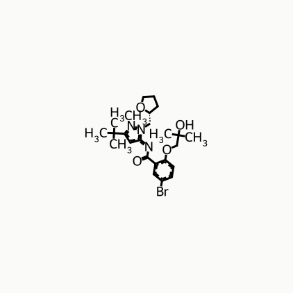 Cn1c(C(C)(C)C)cc(=NC(=O)c2cc(Br)ccc2OCC(C)(C)O)n1C[C@H]1CCCO1